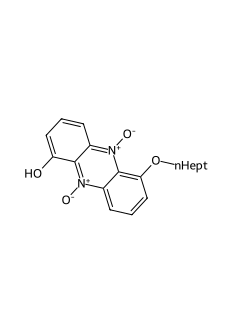 CCCCCCCOc1cccc2c1[n+]([O-])c1cccc(O)c1[n+]2[O-]